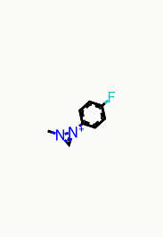 CN1C=[N+]1c1ccc(F)cc1